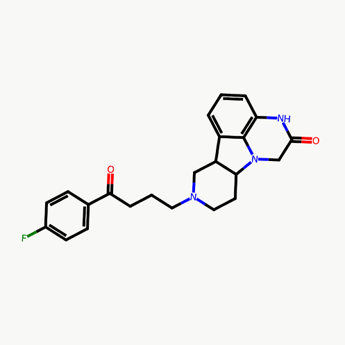 O=C1CN2c3c(cccc3C3CN(CCCC(=O)c4ccc(F)cc4)CCC32)N1